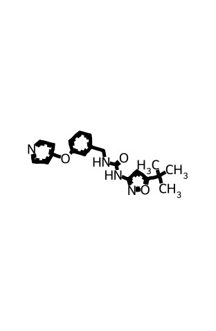 CC(C)(C)c1cc(NC(=O)NCc2cccc(Oc3ccncc3)c2)no1